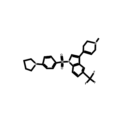 CN1CC=C(c2cn(S(=O)(=O)c3ccc(N4CCCC4)cc3)c3ccc(C(F)(F)F)cc23)CC1